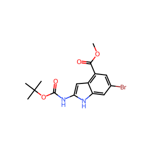 COC(=O)c1cc(Br)cc2[nH]c(NC(=O)OC(C)(C)C)cc12